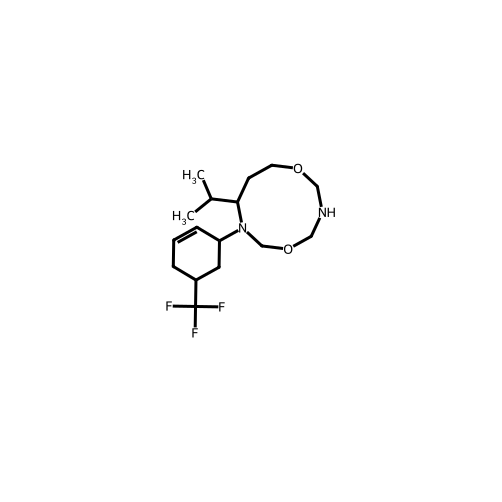 CC(C)C1CCOCNCOCN1C1C=CCC(C(F)(F)F)C1